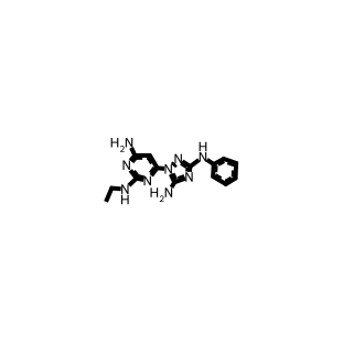 CCNc1nc(N)cc(-n2nc(Nc3ccccc3)nc2N)n1